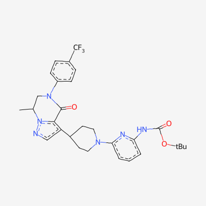 CC1CN(c2ccc(C(F)(F)F)cc2)C(=O)c2c(C3CCN(c4cccc(NC(=O)OC(C)(C)C)n4)CC3)cnn21